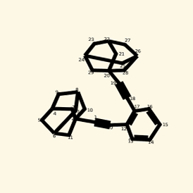 C(#CC12CC3CC(CC(C3)C1)C2)c1[c]cccc1C#CC12CC3CC(CC(C3)C1)C2